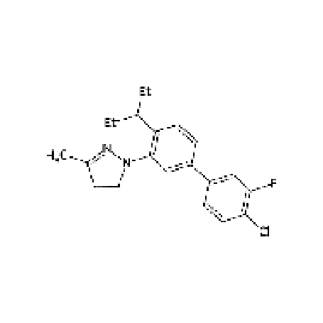 CCC(CC)c1ccc(-c2ccc(Cl)c(F)c2)cc1-n1ccc(C)n1